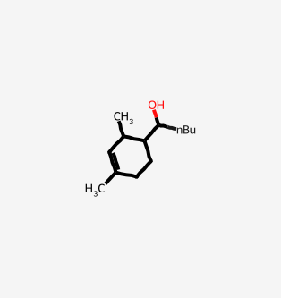 CCCCC(O)C1CCC(C)=CC1C